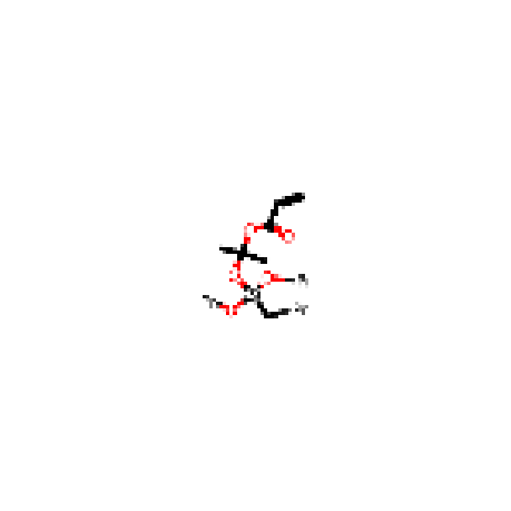 C=CC(=O)OC(C)(C)O[Si](CC(C)C)(OC(C)C)OC(C)C